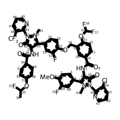 COc1ccc(-c2c(NC(=O)c3ccc(OC(F)F)c(COc4ccc(-c5c(NC(=O)c6ccc(OC(C)F)cc6)c(=O)n(-c6ncccc6C(F)(F)F)n5C)cc4F)c3)c(=O)n(-c3ncccc3Cl)n2C)cc1F